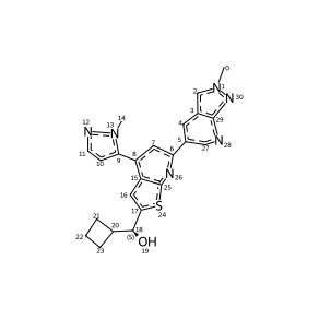 Cn1cc2cc(-c3cc(-c4ccnn4C)c4cc([C@@H](O)C5CCC5)sc4n3)cnc2n1